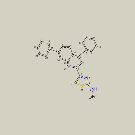 CC(C)Nc1nc(-c2cc(-c3ccccc3)c3ccc(-c4ccccc4)cc3n2)cs1